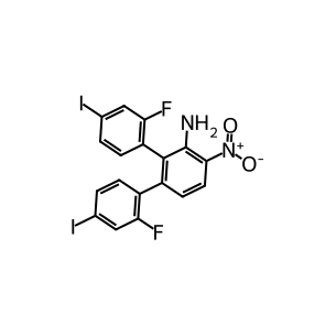 Nc1c([N+](=O)[O-])ccc(-c2ccc(I)cc2F)c1-c1ccc(I)cc1F